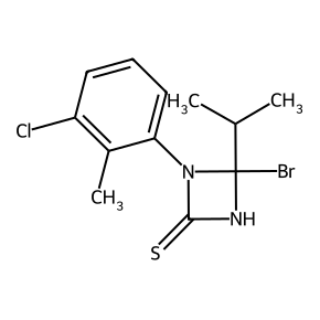 Cc1c(Cl)cccc1N1C(=S)NC1(Br)C(C)C